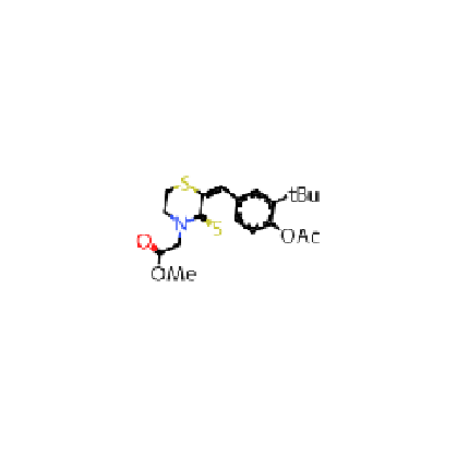 COC(=O)CN1CCSC(=Cc2ccc(OC(C)=O)c(C(C)(C)C)c2)C1=S